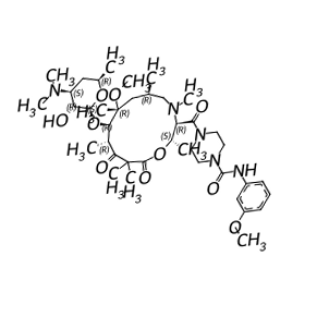 COc1cccc(NC(=O)N2CCN(C(=O)[C@H]3[C@H](C)OC(=O)C(C)(C)C(=O)[C@H](C)[C@@H](O[C@@H]4O[C@H](C)C[C@H](N(C)C)[C@H]4O)[C@](C)(OC)C[C@@H](C)CN3C)CC2)c1